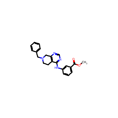 COC(=O)c1cccc(Nc2ncnc3c2CCN(Cc2ccccc2)C3)c1